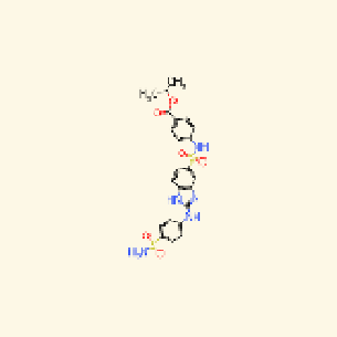 CC(C)OC(=O)c1ccc(NS(=O)(=O)c2ccc3[nH]c(Nc4ccc(S(N)(=O)=O)cc4)nc3c2)cc1